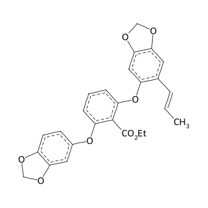 CC=Cc1cc2c(cc1Oc1cccc(Oc3ccc4c(c3)OCO4)c1C(=O)OCC)OCO2